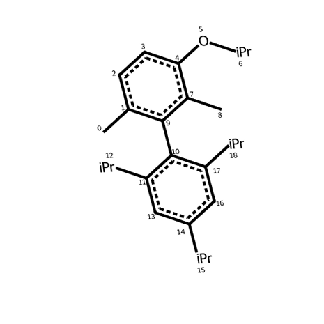 Cc1ccc(OC(C)C)c(C)c1-c1c(C(C)C)cc(C(C)C)cc1C(C)C